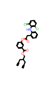 C#CCC(CC#C)COC(=O)c1cccc(OC(=O)Cc2ccccc2Nc2c(Cl)cccc2Cl)c1